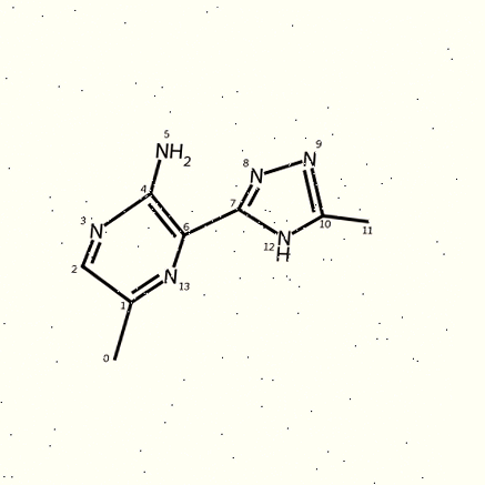 Cc1cnc(N)c(-c2nnc(C)[nH]2)n1